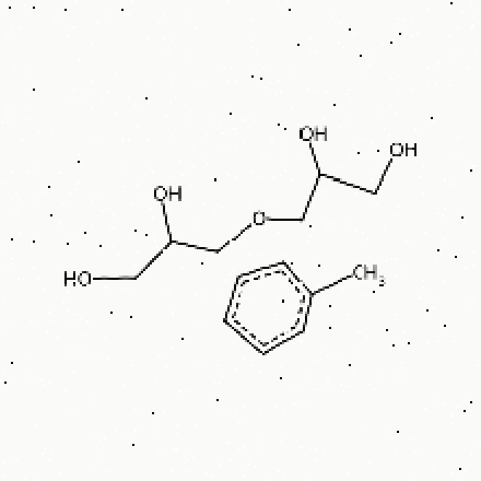 Cc1ccccc1.OCC(O)COCC(O)CO